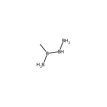 BBB(B)C